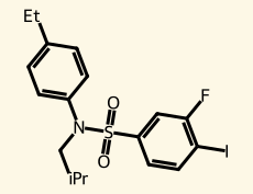 CCc1ccc(N(CC(C)C)S(=O)(=O)c2ccc(I)c(F)c2)cc1